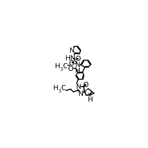 CCCCC1=N[C@]2(CC3C[C@@H]3C2)C(=O)N1Cc1ccc(-c2ccccc2NS(=O)(=O)Nc2ccccn2)c(COCC)c1